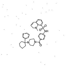 CN1CC=Cc2cccc(S(=O)(=O)Nc3ccc(C(=O)N4CCN(C5(c6ccccc6)CCCCC5)CC4)cc3)c21